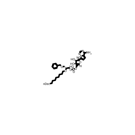 CCCCCCCCCCCCCCCCCCO[C@H](COCc1ccccc1)COP(=O)(O)OC1[C@H]2O[C@@](C#N)(c3ccc4c(N)ncnn34)[C@H](O)[C@@]12O